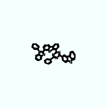 c1ccc(-c2nc(-c3ccc4oc5ccccc5c4c3)nc(-c3cccc4c3oc3c(-c5nc6ccccc6n5-c5ccccc5)cccc34)n2)cc1